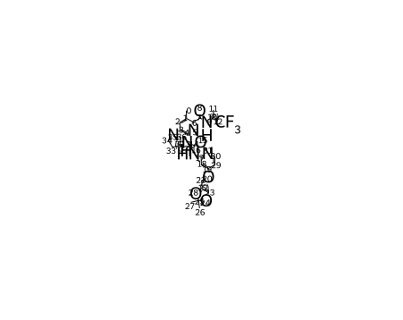 Cc1cc2c(nc1C(=O)N[C@H](C)C(F)(F)F)N(C(=O)Nc1cc(OC[C@H]3COC(C)(C)O3)ccn1)[C@H]1CCN2C1